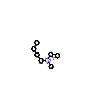 c1ccc(-c2cccc(-c3ccc(-c4cccc(-c5nc(-c6ccccc6)nc(-c6cccc7c6sc6ccccc67)n5)c4)cc3)c2)cc1